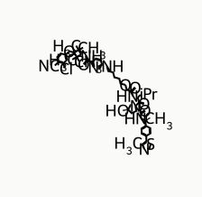 Cc1ncsc1-c1ccc([C@H](C)NC(=O)[C@@H]2C[C@@H](O)CN2C(=O)C(NC(=O)COCCCCCNc2ccc(C(=O)NC3C(C)(C)C(Oc4ccc(C#N)c(Cl)c4)C3(C)C)nc2)C(C)C)cc1